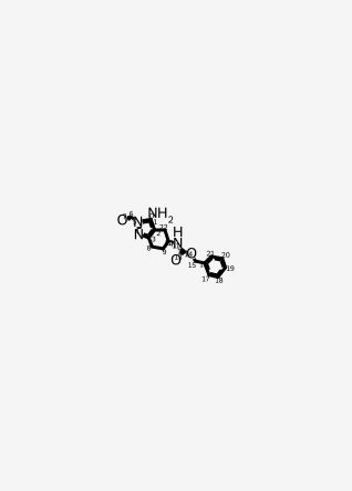 Nc1c2c(nn1C=O)CC[C@H](NC(=O)OCc1ccccc1)C2